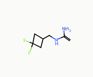 C=C(N)NCC1CC(F)(F)C1